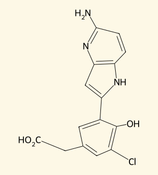 Nc1ccc2[nH]c(-c3cc(CC(=O)O)cc(Cl)c3O)cc2n1